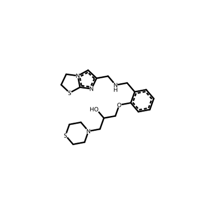 OC(COc1ccccc1CNCc1cn2c(n1)SCC2)CN1CCSCC1